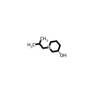 C[C](C)CN1CCC[C@H](O)C1